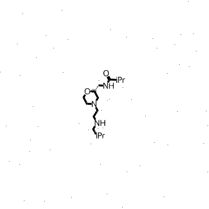 CC(C)CNCCN1CCO[C@H](CNC(=O)C(C)C)C1